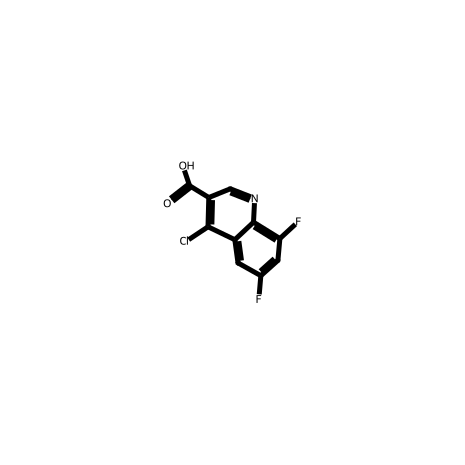 O=C(O)c1cnc2c(F)cc(F)cc2c1Cl